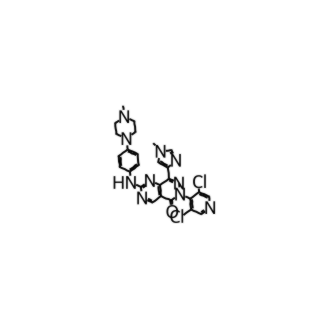 CN1CCN(c2ccc(Nc3ncc4c(=O)n(-c5c(Cl)cncc5Cl)nc(-c5cn(C)cn5)c4n3)cc2)CC1